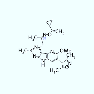 C=C(O/N=C(/C)Cc1nc(C)nc2[nH]c3cc(-c4c(C)noc4C)c(OC)nc3c12)C1CC1